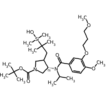 COCCCOc1cc(C(=O)N(C(C)C)[C@@H]2CN(C(=O)OC(C)(C)C)CC2CC(C)(C)[Si](C)(C)O)ccc1OC